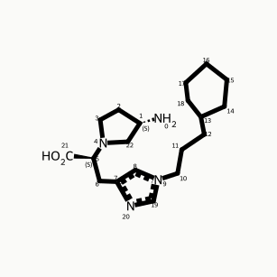 N[C@H]1CCN([C@@H](Cc2cn(CCCC3CCCCC3)cn2)C(=O)O)C1